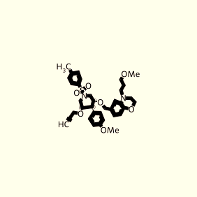 C#CCO[C@@H]1CN(S(=O)(=O)c2ccc(C)cc2)C[C@H](OCc2ccc3c(c2)N(CCCOC)CCO3)[C@@H]1c1ccc(OC)cc1